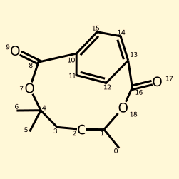 CC1CCC(C)(C)OC(=O)c2ccc(cc2)C(=O)O1